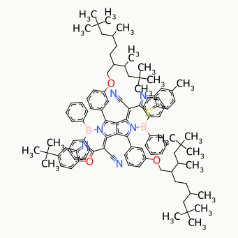 Cc1ccc2sc(/C(C#N)=c3/c4c(-c5cccc(OCC(CCC(C)CC(C)(C)C)C(C)CC(C)(C)C)c5)n(B(c5ccccc5)c5ccccc5)/c(=C(/C#N)c5nc6cc(C(C)(C)C)ccc6o5)c4c(-c4cccc(OCC(CCC(C)CC(C)(C)C)C(C)CC(C)(C)C)c4)n3B(c3ccccc3)c3ccccc3)nc2c1